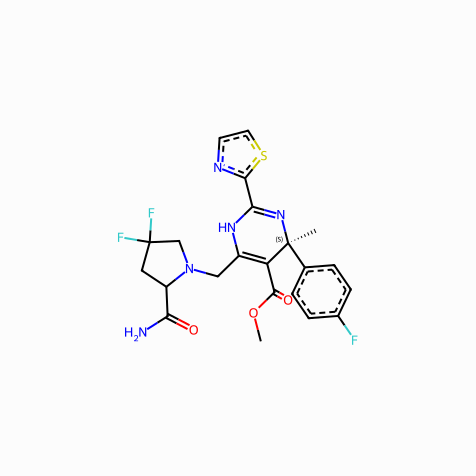 COC(=O)C1=C(CN2CC(F)(F)CC2C(N)=O)NC(c2nccs2)=N[C@@]1(C)c1ccc(F)cc1